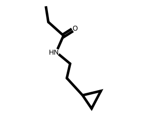 CCC(=O)NCCC1CC1